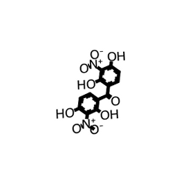 O=C(c1ccc(O)c([N+](=O)[O-])c1O)c1ccc(O)c([N+](=O)[O-])c1O